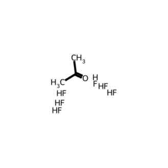 CC(C)=O.F.F.F.F.F.F